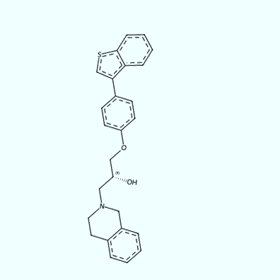 O[C@@H](COc1ccc(-c2csc3ccccc23)cc1)CN1CCc2ccccc2C1